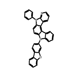 c1ccc(-n2c3ccc4c(c5ccccc5n4-c4ccc5c(c4)oc4ccccc45)c3c3cccnc32)cc1